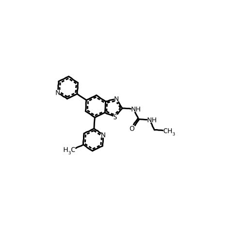 CCNC(=O)Nc1nc2cc(-c3cccnc3)cc(-c3cc(C)ccn3)c2s1